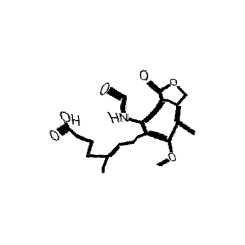 COc1c(C)c2c(c(NC=O)c1C/C=C(\C)CCC(=O)O)C(=O)OC2